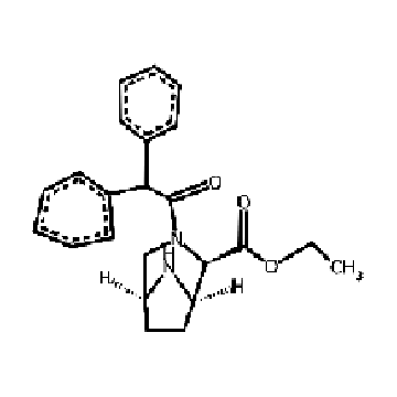 CCOC(=O)[C@H]1[C@H]2CC[C@@H](CN1C(=O)C(c1ccccc1)c1ccccc1)N2